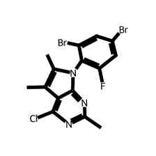 Cc1nc(Cl)c2c(C)c(C)n(-c3c(F)cc(Br)cc3Br)c2n1